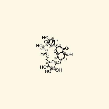 CC(O)(CC(=O)O)CC(=O)OC[C@H]1OC(Oc2cc(O)c3c(=O)cc(-c4ccc(O)cc4)oc3c2)[C@H](O)[C@@H](O)[C@@H]1O